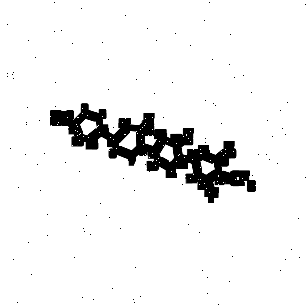 CCc1ccc(-c2ccc(-c3ccc(-c4cc(F)c(C(F)(F)F)c(F)c4)c(F)c3)c(F)c2)cc1